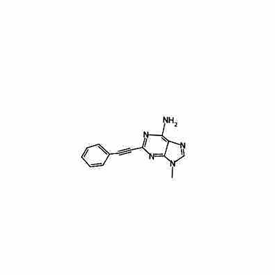 Cn1cnc2c(N)nc(C#Cc3ccccc3)nc21